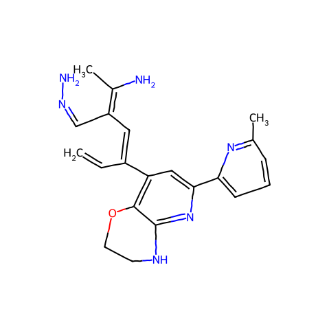 C=C\C(=C/C(/C=N\N)=C(/C)N)c1cc(-c2cccc(C)n2)nc2c1OCCN2